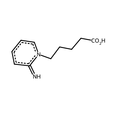 N=c1ccccn1CCCCC(=O)O